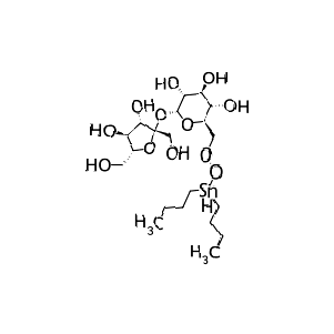 CCC[CH2][SnH]([CH2]CCC)[O]OC[C@H]1O[C@H](O[C@]2(CO)O[C@H](CO)[C@@H](O)[C@@H]2O)[C@H](O)[C@@H](O)[C@@H]1O